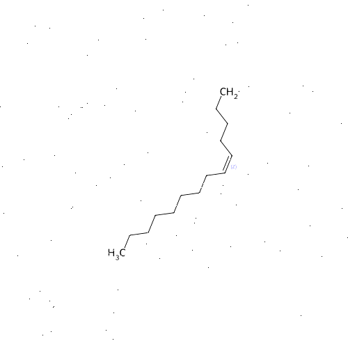 [CH2]CCC/C=C\CCCCCCCC